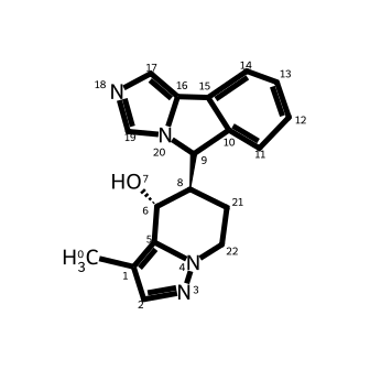 Cc1cnn2c1[C@H](O)[C@@H](C1c3ccccc3-c3cncn31)CC2